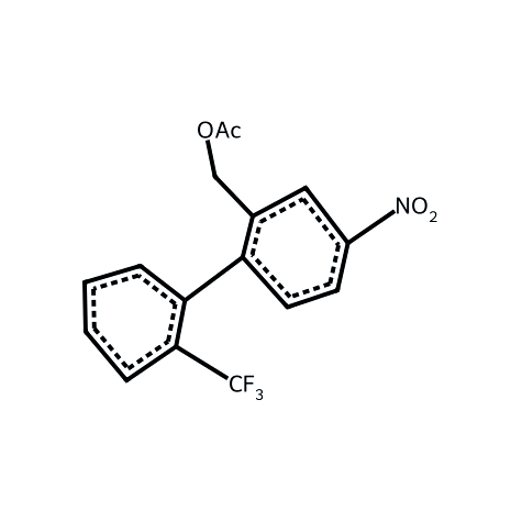 CC(=O)OCc1cc([N+](=O)[O-])ccc1-c1ccccc1C(F)(F)F